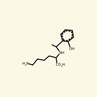 CC(NC(CCCCN)C(=O)O)c1ccccc1O